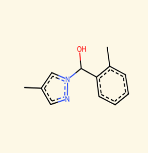 Cc1cnn(C(O)c2ccccc2C)c1